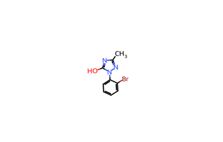 Cc1nc(O)n(-c2ccccc2Br)n1